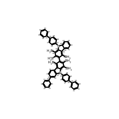 Bc1c(-c2c(B)c(B)c3c(c2B)c2ccc(-c4ccccc4)cc2n3-c2ccc(-c3ccccc3)cc2)c(B)c2c3ccccc3n(-c3ccc(-c4ccccc4)cc3)c2c1B